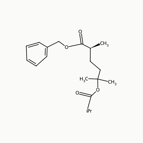 CC(C)C(=O)OC(C)(C)CC[C@H](C)C(=O)OCc1ccccc1